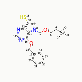 C[Si](C)(C)CCOCn1cc(S)c2ncnc(OCc3ccccc3)c21